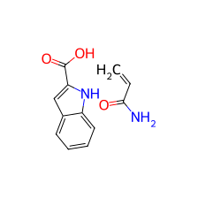 C=CC(N)=O.O=C(O)c1cc2ccccc2[nH]1